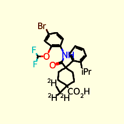 [2H]C([2H])([2H])C1(C(=O)O)CCC(C(=O)Nc2ccc(Br)cc2OC(F)F)(c2ccccc2C(C)C)CC1